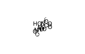 CCC(=O)CN1C(O)=C(N=Nc2noc3ccccc23)S(=O)(=O)c2cc3c(cc21)OCO3